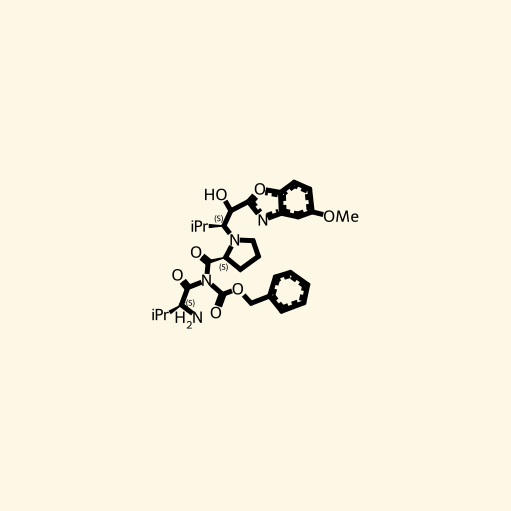 COc1ccc2oc(C(O)[C@H](C(C)C)N3CCC[C@H]3C(=O)N(C(=O)OCc3ccccc3)C(=O)[C@@H](N)C(C)C)nc2c1